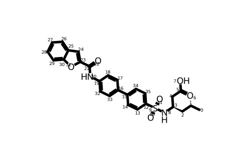 CCC[C@H](CC(=O)O)NS(=O)(=O)c1ccc(-c2ccc(NC(=O)c3cc4ccccc4o3)cc2)cc1